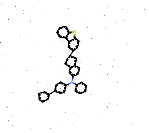 c1ccc(-c2ccc(N(c3ccccc3)c3ccc4cc(-c5ccc6sc7ccccc7c6c5)ccc4c3)cc2)cc1